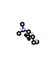 c1ccc(-c2cc(-c3ccc4c(c3)C3(c5cc(-c6cccc7cccnc67)ccc5O4)c4ccccc4-c4ccccc43)nc(-c3ccccc3)n2)cc1